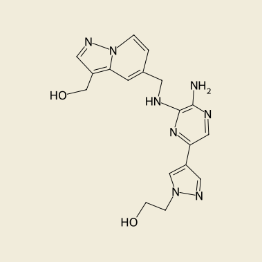 Nc1ncc(-c2cnn(CCO)c2)nc1NCc1ccn2ncc(CO)c2c1